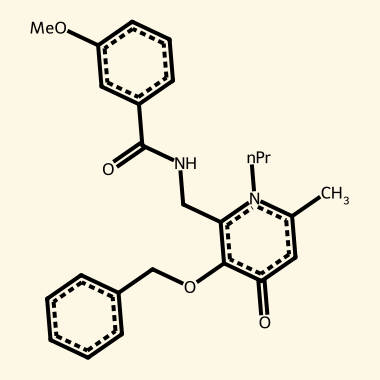 CCCn1c(C)cc(=O)c(OCc2ccccc2)c1CNC(=O)c1cccc(OC)c1